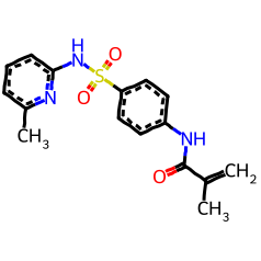 C=C(C)C(=O)Nc1ccc(S(=O)(=O)Nc2cccc(C)n2)cc1